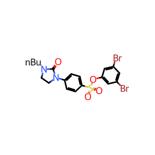 CCCCN1CCN(c2ccc(S(=O)(=O)Oc3cc(Br)cc(Br)c3)cc2)C1=O